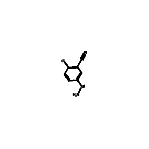 N#Cc1cc(NN)ccc1Cl